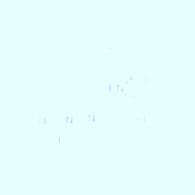 Cc1ccc(N2CCN(C)C(C)C2)cc1C(=O)N[C@H](C)c1cccc2ccccc12